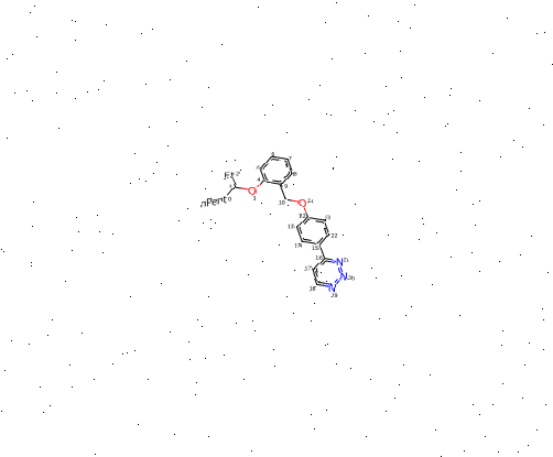 CCCCCC(CC)Oc1ccccc1COc1ccc(-c2ccnnn2)cc1